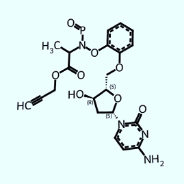 C#CCOC(=O)C(C)N(Oc1ccccc1OC[C@@H]1O[C@H](n2ccc(N)nc2=O)C[C@H]1O)P=O